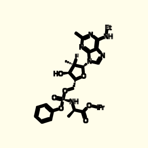 CCNc1nc(C)nc2c1ncn2[C@@H]1O[C@H](CO[P@](=O)(N[C@H](C)C(=O)OC(C)C)Oc2ccccc2)[C@@H](O)[C@@]1(C)F